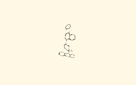 c1ccc2c(c1)Oc1cc(-c3ccc(-c4c5ccccc5cc5ccccc45)nc3)c3ccccc3c1O2